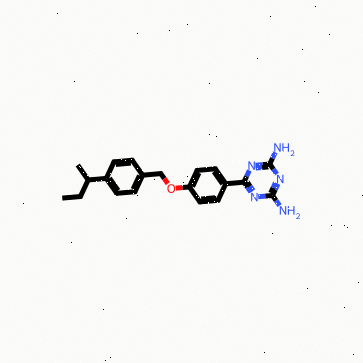 CCC(C)c1ccc(COc2ccc(-c3nc(N)nc(N)n3)cc2)cc1